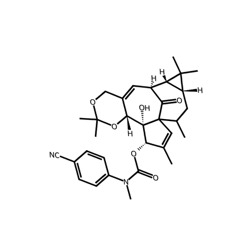 CC1=CC23C(=O)[C@@H](C=C4COC(C)(C)O[C@H]4[C@]2(O)[C@H]1OC(=O)N(C)c1ccc(C#N)cc1)[C@H]1[C@@H](CC3C)C1(C)C